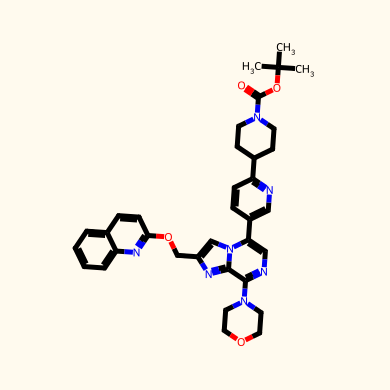 CC(C)(C)OC(=O)N1CCC(c2ccc(-c3cnc(N4CCOCC4)c4nc(COc5ccc6ccccc6n5)cn34)cn2)CC1